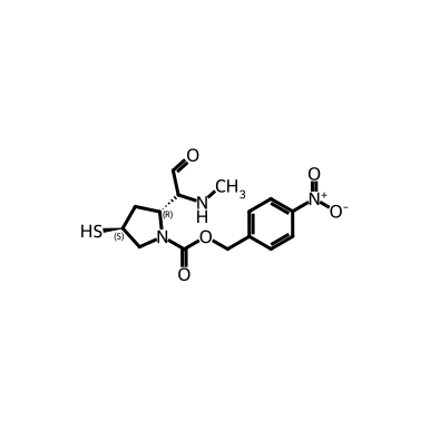 CNC(C=O)[C@H]1C[C@H](S)CN1C(=O)OCc1ccc([N+](=O)[O-])cc1